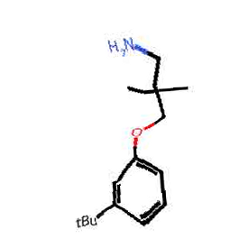 CC(C)(CN)COc1cccc(C(C)(C)C)c1